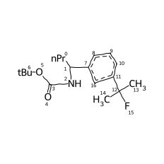 CCCC(NC(=O)OC(C)(C)C)c1cccc(C(C)(C)F)c1